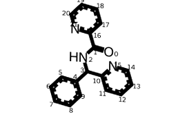 O=C(NC(c1ccccc1)c1ccccn1)c1ccccn1